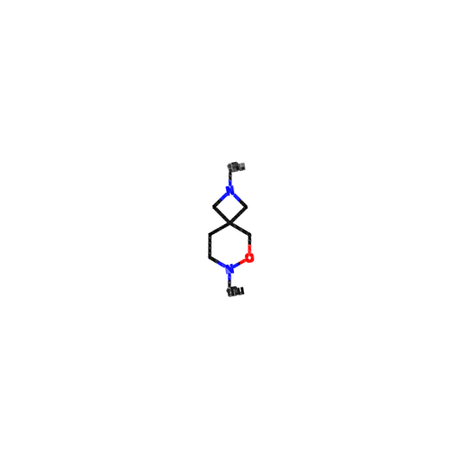 CC(C)(C)N1CC2(CCN(C(C)(C)C)OC2)C1